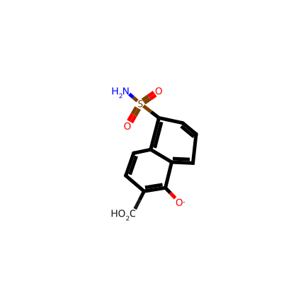 NS(=O)(=O)c1cccc2c([O])c(C(=O)O)ccc12